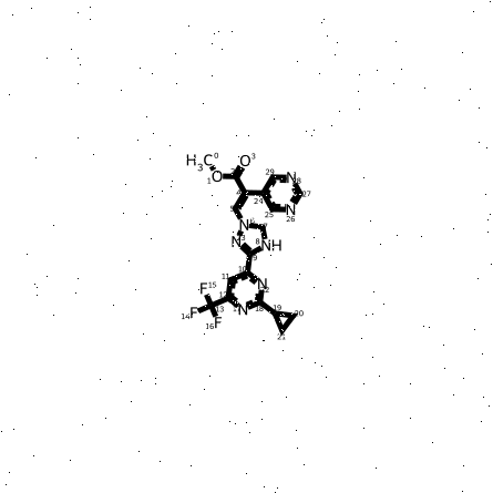 COC(=O)/C(=C/N1CNC(c2cc(C(F)(F)F)nc(C3CC3)n2)=N1)c1cncnc1